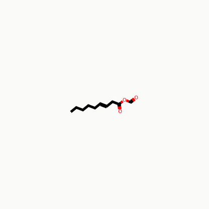 CCCCCC=CCC(=O)OC=O